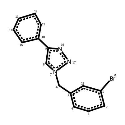 Brc1cccc(Cn2cc(-c3ccccc3)nn2)c1